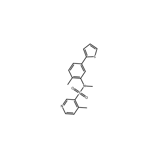 Cc1ccc(-c2cccs2)cc1N(C)S(=O)(=O)c1cnccc1C